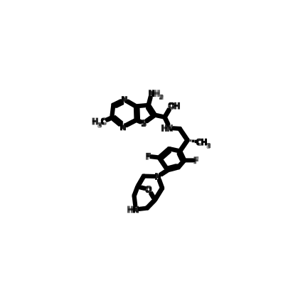 Cc1cnc2c(N)c(C(O)NC[C@H](C)c3cc(F)c(N4CC5CNCC(C4)O5)cc3F)sc2n1